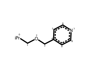 CC(C)COCc1ccncc1